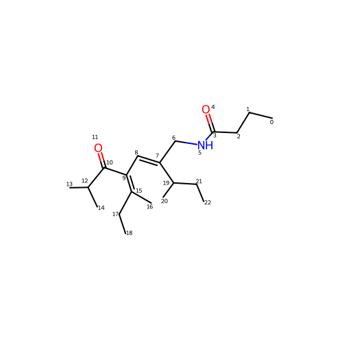 CCCC(=O)NC/C(=C/C(C(=O)C(C)C)=C(\C)CC)C(C)CC